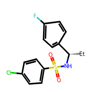 CC[C@H](NS(=O)(=O)c1ccc(Cl)cc1)c1ccc(F)cc1